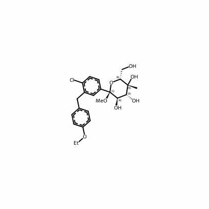 CCOc1ccc(Cc2cc([C@]3(OC)O[C@H](CO)[C@](C)(O)[C@H](O)[C@H]3O)ccc2Cl)cc1